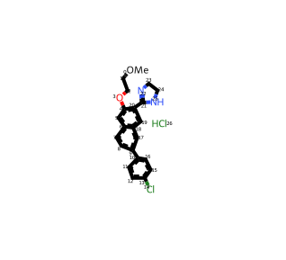 COCCOc1cc2ccc(-c3ccc(Cl)cc3)cc2cc1C1=NCCN1.Cl